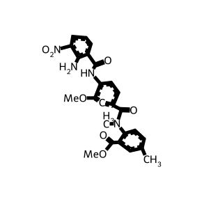 COC(=O)c1cc(C)ccc1N(C)C(=O)c1ccc(NC(=O)c2cccc([N+](=O)[O-])c2N)c(OC)c1